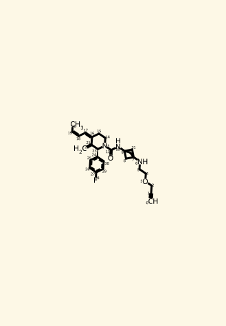 C#CCOCCNC12CC(NC(=O)N3CC/C(=C/C=C\C)C(=C)[C@@H]3c3ccc(F)cc3)(C1)C2